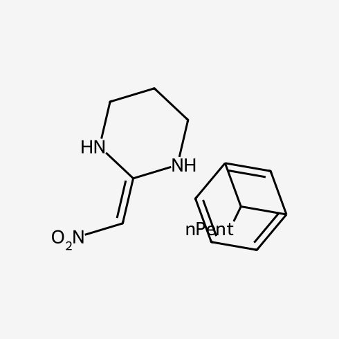 CCCCCC1c2cccc1c2.O=[N+]([O-])C=C1NCCCN1